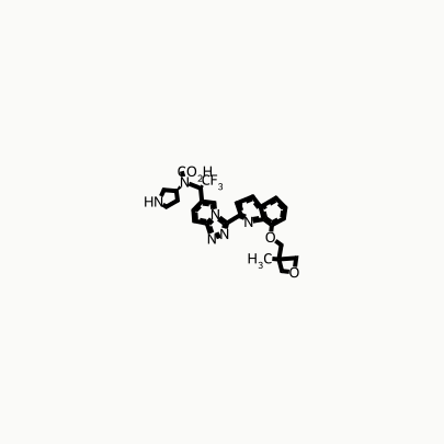 CC1(COc2cccc3ccc(-c4nnc5ccc([C@@H](N(C(=O)O)[C@H]6CCNC6)C(F)(F)F)cn45)nc23)COC1